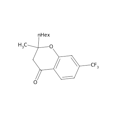 CCCCCCC1(C)CC(=O)c2ccc(C(F)(F)F)cc2O1